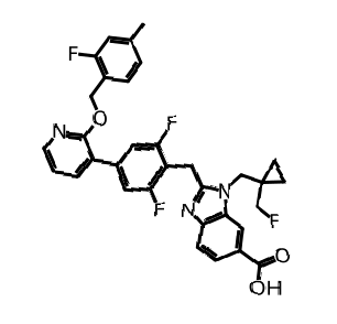 Cc1ccc(COc2ncccc2-c2cc(F)c(Cc3nc4ccc(C(=O)O)cc4n3CC3(CF)CC3)c(F)c2)c(F)c1